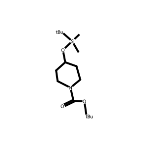 CC(C)(C)OC(=O)N1CCC(O[Si](C)(C)C(C)(C)C)CC1